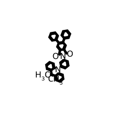 CC1(C)c2ccccc2N(c2cccc(N3C(=O)c4cc(-c5ccccc5)c(-c5ccccc5)cc4C3=O)c2)c2ccccc21